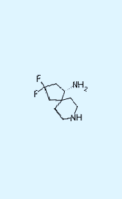 N[C@H]1CC(F)(F)CC12CCNCC2